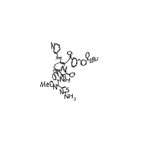 CO/N=C(\C(=O)N[C@@H]1C(=O)N2C(C(=O)OCOC(=O)C(C)(C)C)=C(/C=C/c3cccnc3)CS[C@H]12)c1csc(N)n1